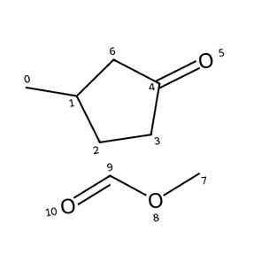 CC1CCC(=O)C1.COC=O